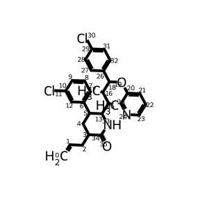 C=CCC1CC(c2cccc(Cl)c2)C(C(C)C(C)C(Oc2cccnc2)c2ccc(Cl)cc2)NC1=O